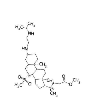 COC(=O)CC[C@@H](C)C1CCC2C3C(CCC21C)C1(C)CCC(NCCNC(C)C)CC1C[C@H]3S(C)(=O)=O